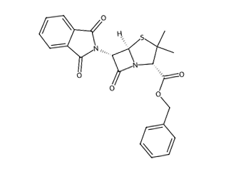 CC1(C)S[C@@H]2[C@@H](N3C(=O)c4ccccc4C3=O)C(=O)N2[C@H]1C(=O)OCc1ccccc1